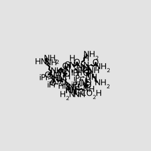 CC(C)C[C@H](NC(=O)[C@H](CC(C)C)NC(=O)[C@H](CCCCN)NC(=O)[C@H](CCC(N)=O)NC(=O)[C@H](CCCCN)NC(=O)[C@H](CC(C)C)NC(=O)[C@H](CC(C)C)NC(=O)[C@@H]1CCCN1C(=O)[C@H](CCCNC(=N)N)NC(=O)[C@H](CC(C)C)NC(=O)[C@H](CC(C)C)NC(=O)[C@@H](N)CCCNC(=N)N)C(=O)N[C@@H](CCCNC(=N)N)C(=O)O